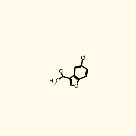 CC(Cl)c1coc2ccc(Cl)cc12